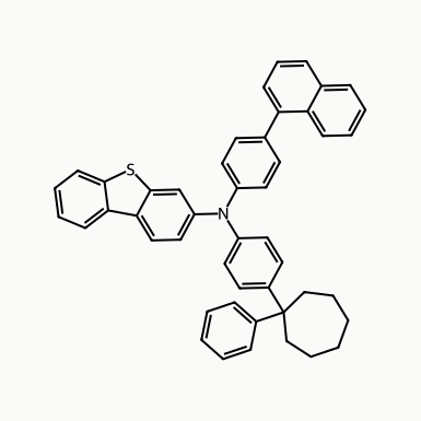 c1ccc(C2(c3ccc(N(c4ccc(-c5cccc6ccccc56)cc4)c4ccc5c(c4)sc4ccccc45)cc3)CCCCCC2)cc1